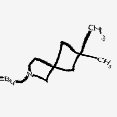 CC1(C)CC2(CN(C(C)(C)C)C2)C1